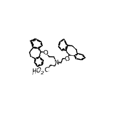 O=C(O)CCN(CCOC1c2ccccc2CCc2ccccc21)CCOC1c2ccccc2CCc2ccccc21